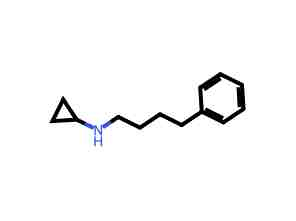 c1ccc(CCCCNC2CC2)cc1